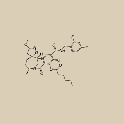 CCCCCC(=O)Oc1c2n(cc(C(=O)NCc3ccc(F)cc3F)c1=O)[C@@H]1CN(C2=O)[C@@H](C)CC[C@]12CC(OC)=NO2